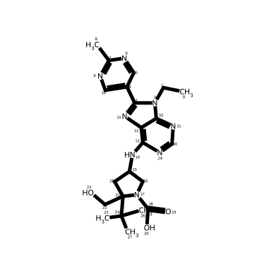 CCn1c(-c2cnc(C)nc2)nc2c(NC3CN(C(=O)O)C(CO)(C(C)(C)C)C3)ncnc21